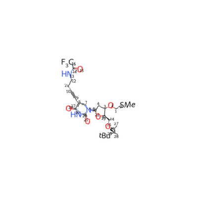 CSCOC1C[C@H](n2cc(C#CCCNC(=O)C(F)(F)F)c(=O)[nH]c2=O)O[C@@H]1CO[Si](C)(C)C(C)(C)C